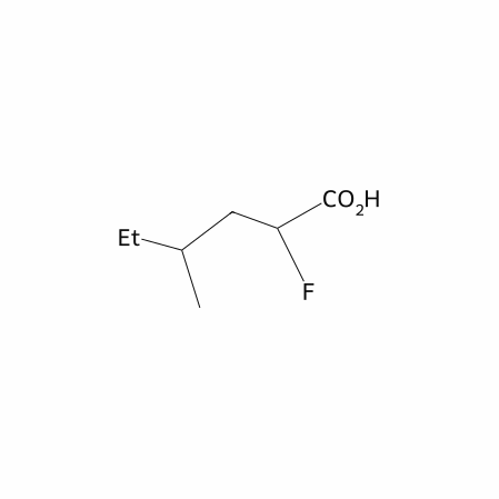 CCC(C)CC(F)C(=O)O